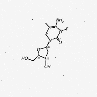 CC1=C(N)N(F)C(=O)N([C@H]2C[C@H](O)[C@@H](CO)O2)C1